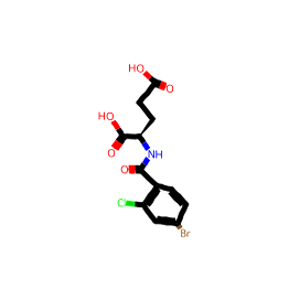 O=C(O)CC[C@@H](NC(=O)c1ccc(Br)cc1Cl)C(=O)O